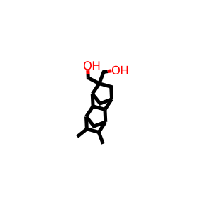 CC1C(C)C2CC1C1C3CC(C21)C(CO)(CO)C3